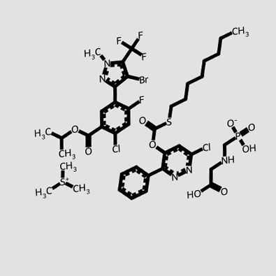 CC(C)OC(=O)c1cc(-c2nn(C)c(C(F)(F)F)c2Br)c(F)cc1Cl.CCCCCCCCSC(=O)Oc1cc(Cl)nnc1-c1ccccc1.C[S+](C)C.O=C(O)CNCP(=O)([O-])O